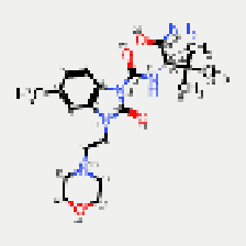 Cc1ccc2c(c1)n(CCN1CCOCC1)c(=O)n2C(=O)N[C@H](C(N)=O)C(C)(C)C